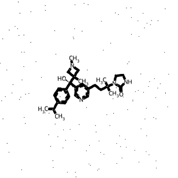 CC(C)c1ccc([C@](O)(c2cncc(CCC(C)(C)N3CCNC3=O)c2)C2(C)CN(C)C2)cc1